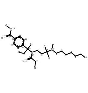 CCCCCCCN(C)C(C)(C)CCN(C(=O)CC)C(C)(CC)c1ccc(C(=O)OC)cc1